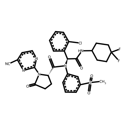 CS(=O)(=O)c1cccc(N(C(=O)[C@@H]2CCC(=O)N2c2nccc(C#N)n2)[C@H](C(=O)NC2CCC(F)(F)CC2)c2ccccc2Cl)c1